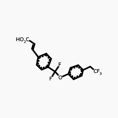 O=C(O)C=Cc1ccc(C(F)(F)Oc2ccc(CC(F)(F)F)cc2)cc1